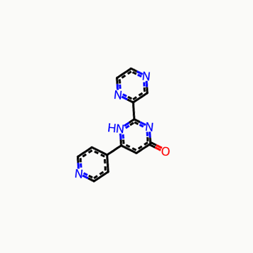 O=c1cc(-c2ccncc2)[nH]c(-c2cnccn2)n1